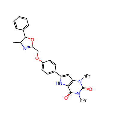 CCCn1c(=O)c2[nH]c(-c3ccc(OCC4=NC(C)C(c5ccccc5)O4)cc3)cc2n(CCC)c1=O